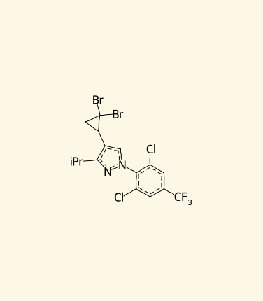 CC(C)c1nn(-c2c(Cl)cc(C(F)(F)F)cc2Cl)cc1C1CC1(Br)Br